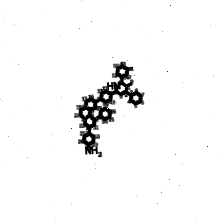 CC1C(c2ccccc2)=CC(c2ccc(-c3ccc4ccc5cc(-c6ccc(N)cc6)cc(-c6ccccc6)c5c4c3)cc2)NC1c1ccccc1